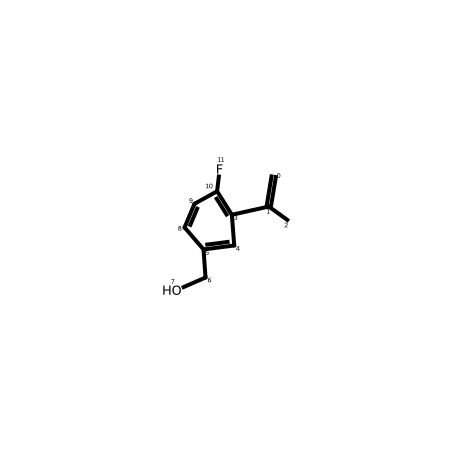 C=C(C)c1cc(CO)ccc1F